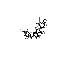 [2H]N1CCN(Cc2cc(F)c3c(c2)CN(C2CCC(=O)NC2=O)C3=O)CC1